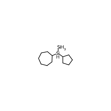 [SiH3][SiH](C1CCCCCC1)C1CCCC1